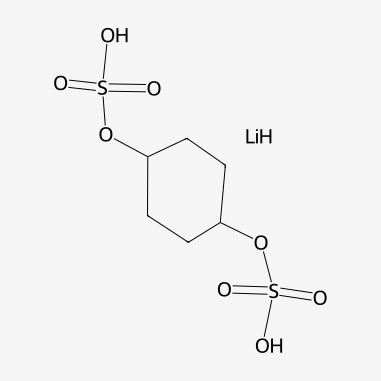 O=S(=O)(O)OC1CCC(OS(=O)(=O)O)CC1.[LiH]